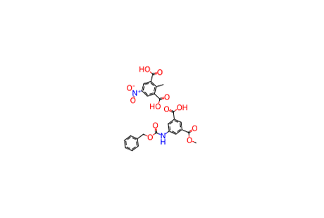 COC(=O)c1cc(NC(=O)OCc2ccccc2)cc(C(=O)O)c1.Cc1c(C(=O)O)cc([N+](=O)[O-])cc1C(=O)O